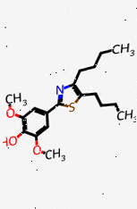 CCCCc1nc(-c2cc(OC)c(O)c(OC)c2)sc1CCCC